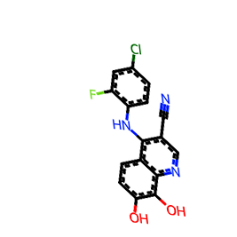 N#Cc1cnc2c(O)c(O)ccc2c1Nc1ccc(Cl)cc1F